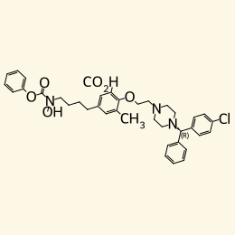 Cc1cc(CCCCN(O)C(=O)Oc2ccccc2)cc(C(=O)O)c1OCCN1CCN([C@H](c2ccccc2)c2ccc(Cl)cc2)CC1